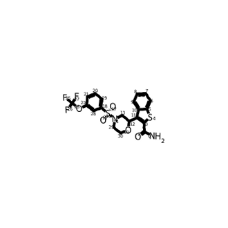 NC(=O)c1sc2ccccc2c1C1CN(S(=O)(=O)c2cccc(OC(F)(F)F)c2)CCO1